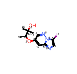 C[C@H](Oc1cnn2c(I)cnc2c1)C(C)(C)O